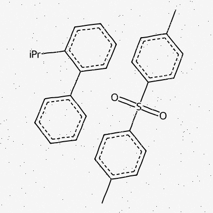 CC(C)c1ccccc1-c1ccccc1.Cc1ccc(S(=O)(=O)c2ccc(C)cc2)cc1